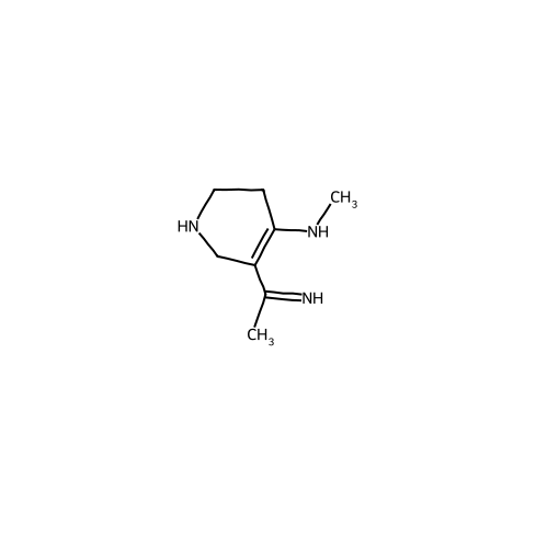 CNC1=C(C(C)=N)CNCC1